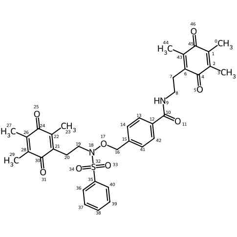 CC1=C(C)C(=O)C(CCNC(=O)c2ccc(CON(CCC3=C(C)C(=O)C(C)=C(C)C3=O)S(=O)(=O)c3ccccc3)cc2)=C(C)C1=O